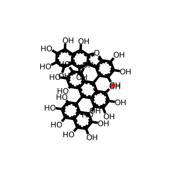 Oc1c(O)c(-c2c3c(O)c(O)c(O)c(O)c3c(-c3c(O)c(O)c(O)c4c(O)c(O)c(O)c(O)c34)c3c(O)c(O)c(O)c(O)c23)c2c(oc3c(O)c4c(O)c(O)c(O)c(O)c4c(O)c32)c1O